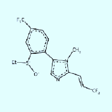 CC[S+]([O-])c1cc(C(F)(F)F)ccc1-c1cnc(/C=C/C(F)(F)F)n1C